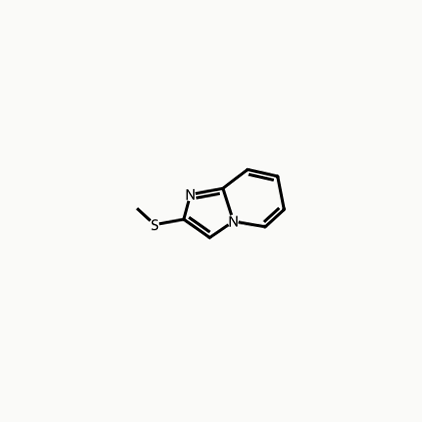 CSc1cn2ccccc2n1